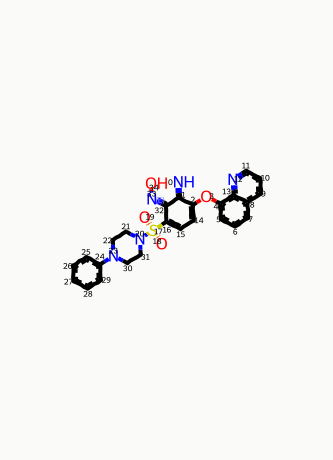 N=C1C(Oc2cccc3cccnc23)=CC=C(S(=O)(=O)N2CCN(c3ccccc3)CC2)/C1=N/O